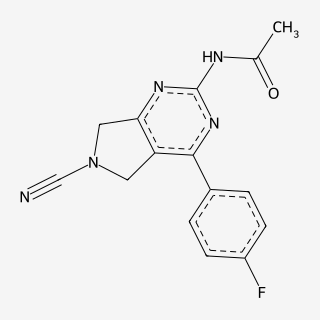 CC(=O)Nc1nc2c(c(-c3ccc(F)cc3)n1)CN(C#N)C2